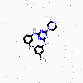 FC(F)(F)c1cccc(Nc2nc(Nc3cccc(C(F)(F)F)c3)nc(N3CCNCC3)n2)c1